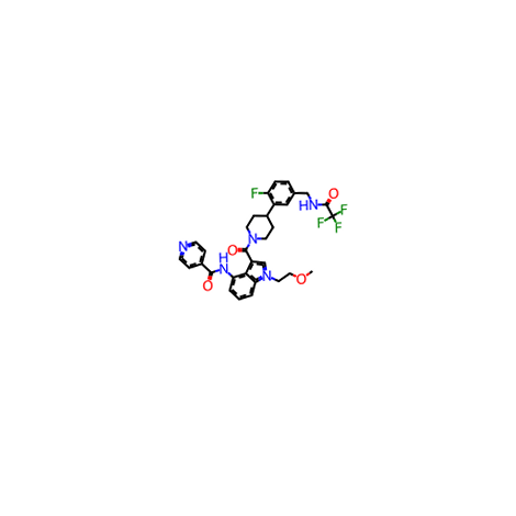 COCCn1cc(C(=O)N2CCC(c3cc(CNC(=O)C(F)(F)F)ccc3F)CC2)c2c(NC(=O)c3ccncc3)cccc21